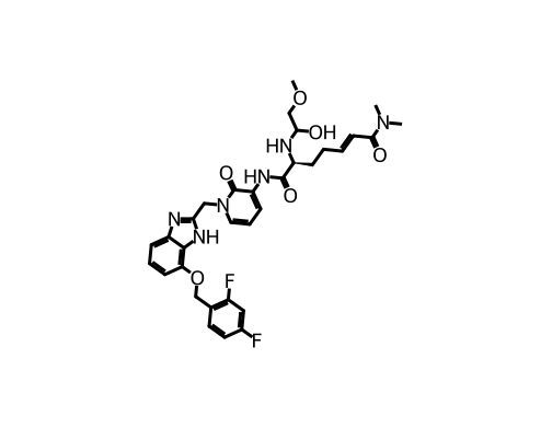 COCC(O)N[C@@H](CC/C=C/C(=O)N(C)C)C(=O)Nc1cccn(Cc2nc3cccc(OCc4ccc(F)cc4F)c3[nH]2)c1=O